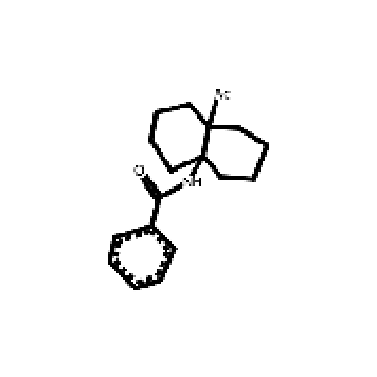 CC(=O)C12CCCCC1(NC(=O)c1ccccc1)CCCC2